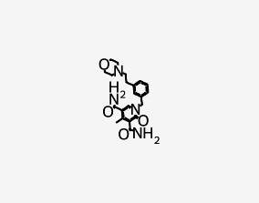 Cc1c(C(N)=O)cn(Cc2cccc(CCN3CCOCC3)c2)c(=O)c1C(N)=O